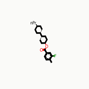 CCC[C@H]1CC[C@H]([C@H]2CC[C@H](OC(=O)c3ccc(C)c(F)c3)CC2)CC1